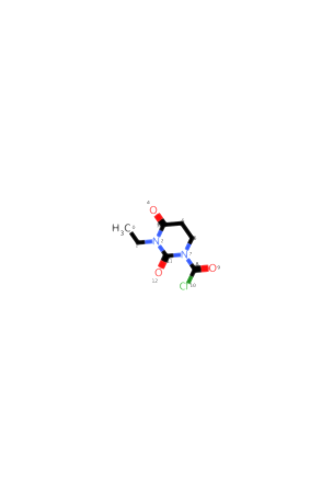 CCN1C(=O)CCN(C(=O)Cl)C1=O